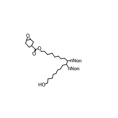 CCCCCCCCCC(CCCCCCCCO)C(CCCCCCCCC)CCCCCCCCOC(=O)C1CCC2OC2C1